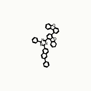 C1=Cc2c(oc3c(-c4cccc5oc6ccccc6c45)ccc(-c4nc(-c5ccccc5)nc(-c5ccc6cc(-c7ccccc7)ccc6c5)n4)c23)CC1